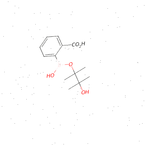 CC(C)(O)C(C)(C)OB(O)c1ccccc1C(=O)O